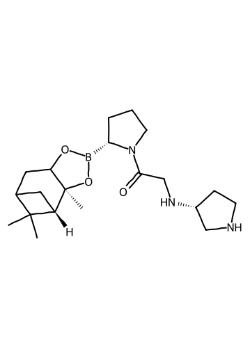 CC1(C)C2CC3OB([C@@H]4CCCN4C(=O)CN[C@@H]4CCNC4)O[C@@]3(C)[C@H]1C2